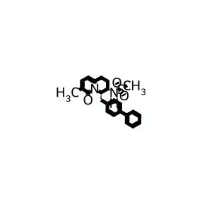 Cc1ccc2n(c1=O)[C@@H](Cc1ccc(-c3ccccc3)cc1)[C@@H](NS(C)(=O)=O)CC2